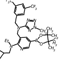 CCN(CC1CCCC1)c1ncc(B2OC(C)(C)C(C)(C)O2)cc1CN(Cc1cc(C(F)(F)F)cc(C(F)(F)F)c1)c1nnn(C)n1